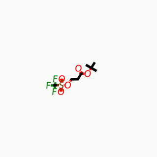 CC(C)(C)OC(=O)CCOS(=O)(=O)C(F)(F)F